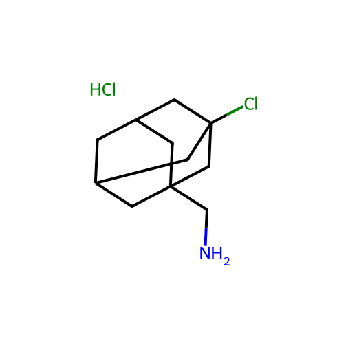 Cl.NCC12CC3CC(CC(Cl)(C3)C1)C2